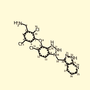 NCc1cc(Cl)cc(Oc2c(Cl)ccc3c2NNN3Cc2n[nH]c3ncccc23)c1Cl